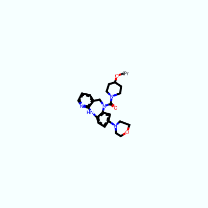 CC(C)OC1CCN(C(=O)N2Cc3cccnc3Nc3ccc(N4CCOCC4)cc32)CC1